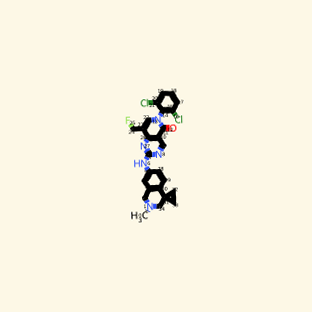 CN1Cc2cc(Nc3ncc4c(=O)n(-c5c(Cl)cccc5Cl)cc(CF)c4n3)ccc2C2(CC2)C1